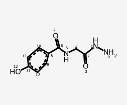 NNC(=O)CNC(=O)c1ccc(O)cc1